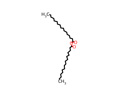 CCCCCCCCCCCCCCCCC(=O)OC(=O)CCCCCCCCCCCCCCCC